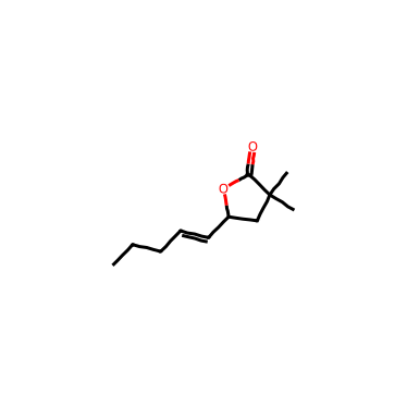 CCCC=CC1CC(C)(C)C(=O)O1